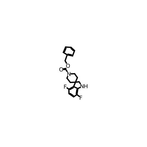 O=C(OCc1ccccc1)N1CCC2(CC1)CNc1c(F)ccc(F)c12